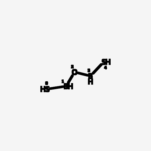 SBOBS